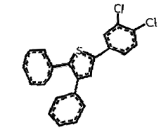 Clc1ccc(-c2cc(-c3ccccc3)c(-c3ccccc3)s2)cc1Cl